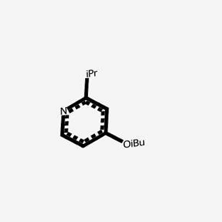 CC(C)COc1ccnc(C(C)C)c1